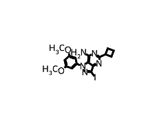 COc1cc(OC)cc(-n2nc(I)c3nc(C4CCC4)nc(N)c32)c1